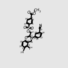 COC(=O)c1ccc(S(=O)(=O)OCC(=O)N(Cc2cccc(I)c2I)c2cccc(C#N)c2)cc1